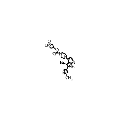 Cn1cc(-c2[nH]c3nccc(N4CCN(C(=O)OC5CS(=O)(=O)C5)CC4)c3c2C#N)cn1